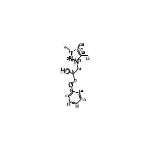 Cc1nn(CC(O)COc2ccccc2)c(C)c1C